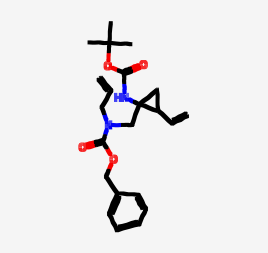 C=CCN(CC1(NC(=O)OC(C)(C)C)CC1C=C)C(=O)OCc1ccccc1